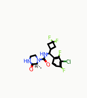 C[C@@H]1C(=O)NCCN1C(=O)NC(c1ccc(F)c(Cl)c1F)C1CC(F)(F)C1